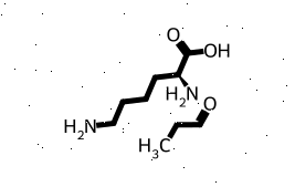 CCC=O.NCCCC[C@H](N)C(=O)O